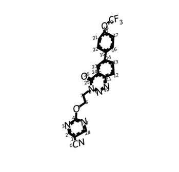 N#Cc1cnc(OCCn2nnc3ccc(-c4ccc(OC(F)(F)F)cc4)cc3c2=O)nc1